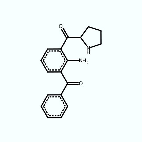 Nc1c(C(=O)c2ccccc2)cccc1C(=O)C1CCCN1